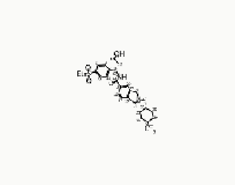 CCS(=O)(=O)c1ccc([C@H](CCO)NC(=O)c2ccc3c(c2)CN(C[C@H]2CC[C@H](C(F)(F)F)CC2)C3)cc1